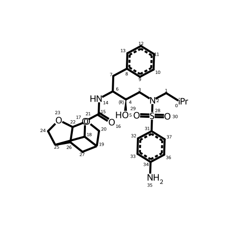 CC(C)CN(C[C@@H](O)C(Cc1ccccc1)NC(=O)OC1C2COC3OCC1C3C2)S(=O)(=O)c1ccc(N)cc1